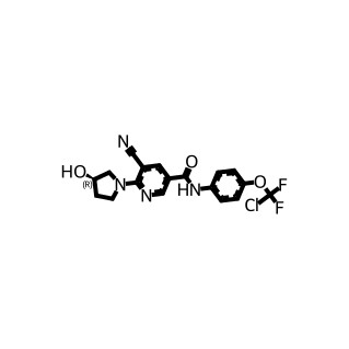 N#Cc1cc(C(=O)Nc2ccc(OC(F)(F)Cl)cc2)cnc1N1CC[C@@H](O)C1